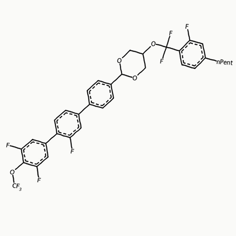 CCCCCc1ccc(C(F)(F)OC2COC(c3ccc(-c4ccc(-c5cc(F)c(OC(F)(F)F)c(F)c5)c(F)c4)cc3)OC2)c(F)c1